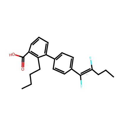 CCCCc1c(C(=O)O)cccc1-c1ccc(/C(F)=C(\F)CCC)cc1